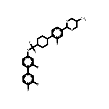 CC1COC(c2ccc(C3CCC(C(F)(F)Oc4ccc(-c5ccc(F)c(F)c5)c(F)c4)CC3)c(F)c2)OC1